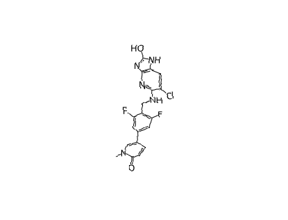 Cn1cc(-c2cc(F)c(CNc3nc4nc(O)[nH]c4cc3Cl)c(F)c2)ccc1=O